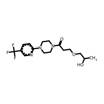 CC(O)COCCC(=O)N1CCN(c2ccc(C(F)(F)F)cn2)CC1